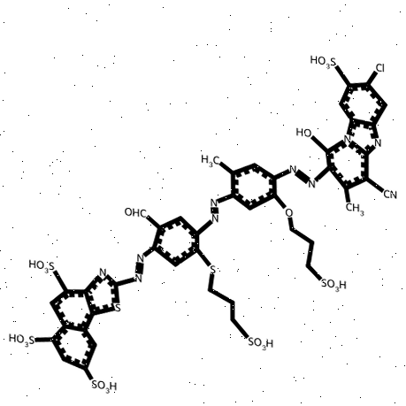 Cc1cc(N=Nc2c(C)c(C#N)c3nc4cc(Cl)c(S(=O)(=O)O)cc4n3c2O)c(OCCCS(=O)(=O)O)cc1N=Nc1cc(C=O)c(N=Nc2nc3c(S(=O)(=O)O)cc4c(S(=O)(=O)O)cc(S(=O)(=O)O)cc4c3s2)cc1SCCCS(=O)(=O)O